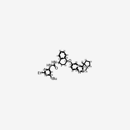 CCc1nc(NC(=O)N[C@H]2CC[C@@H](Oc3ccc4nnc(C5(C)CCCN5C)n4c3)c3ccccc32)cc(C(C)(C)C)n1